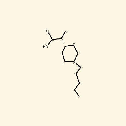 CCCCC[C@H]1CC[C@H](C(C)C(O)O)CC1